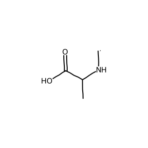 [CH2]NC(C)C(=O)O